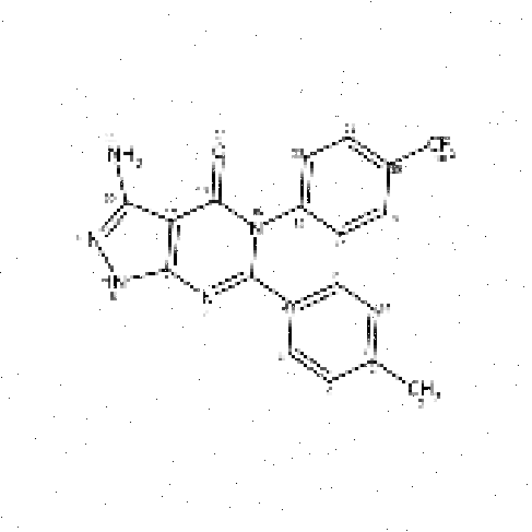 Cc1ccc(-c2nc3[nH]nc(N)c3c(=O)n2-c2ccc(C(F)(F)F)cc2)cc1